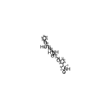 CC1NC(=O)CC=C1c1cccc(OCCCC(=O)NCCNCC(O)COc2ccccc2)c1